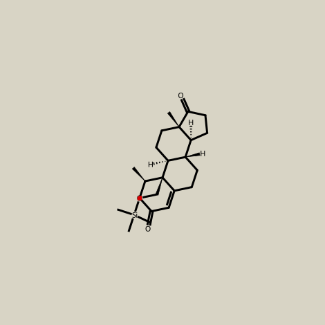 C[C@@H]1CC(=O)C=C2CC[C@@H]3[C@H](CC[C@]4(C)C(=O)CC[C@@H]34)[C@]21CO[Si](C)(C)C